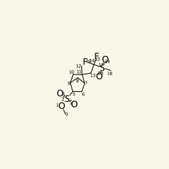 COS(=O)(=O)C1CC2CC1CC2(C)CC(F)(F)S(C)(=O)=O